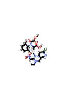 CCN(Cc1ccc(Cl)nc1)/C(=C/[N+](=O)[O-])NC.COCC(=O)N(c1c(C)cccc1C)C(C)C(=O)OC